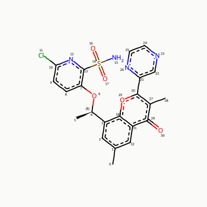 Cc1cc([C@@H](C)Oc2ccc(Cl)nc2S(N)(=O)=O)c2oc(-c3cnccn3)c(C)c(=O)c2c1